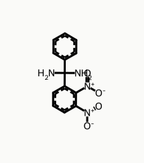 NC(N)(c1ccccc1)c1cccc([N+](=O)[O-])c1[N+](=O)[O-]